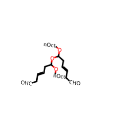 CCCCCCCCOC(CC=CCC=O)OC(CC=CCC=O)OCCCCCCCC